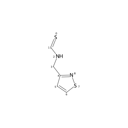 S=[C]NCc1ccsn1